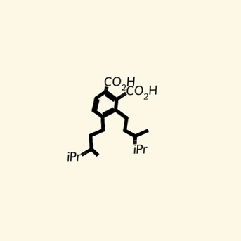 CC(C)C(C)CCc1ccc(C(=O)O)c(C(=O)O)c1CCC(C)C(C)C